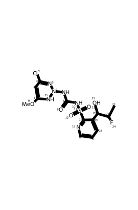 COC1=CC(Cl)=NN(NC(=O)NS(=O)(=O)c2ncccc2C(O)C(C)F)N1